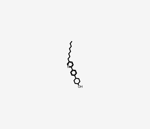 CCCCCCCCc1ccc(-c2ccc(C3CCC(O)CC3)cc2)nc1